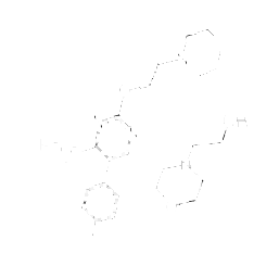 O=C(O)c1nc(OCCN2CCOCC2)ncc1-c1ccc(F)cc1.OCCN1CCOCC1